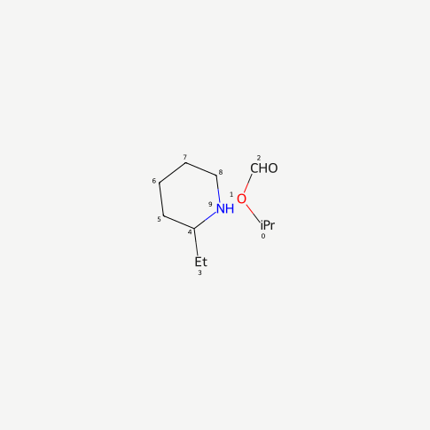 CC(C)OC=O.CCC1CCCCN1